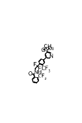 CS(=O)(=O)c1cncc(-c2ccc(C(F)(F)CNC(=O)c3ccccc3C(F)(F)F)c(C(F)(F)F)c2)c1